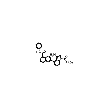 CC(C)(C)OC(=O)n1nc(N)c2c(-c3ccc4c(C(=O)Nc5ccccc5)cccc4c3)cccc21